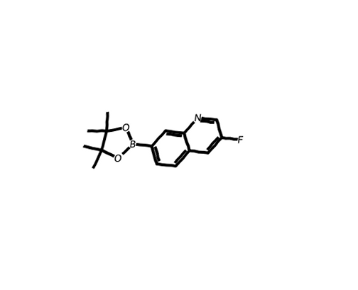 CC1(C)OB(c2ccc3cc(F)cnc3c2)OC1(C)C